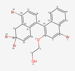 OCCOc1cc(Br)c2ccccc2c1-c1ccc(Br)c2c1C=CC(Br)(Br)C2